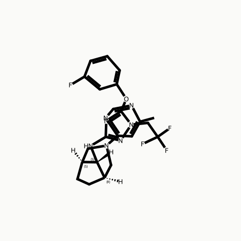 Cc1cc(N2C[C@H]3CC[C@@H](C2)[C@@H]3Nc2nc(Oc3cccc(F)c3)n(CC(F)(F)F)n2)ncn1